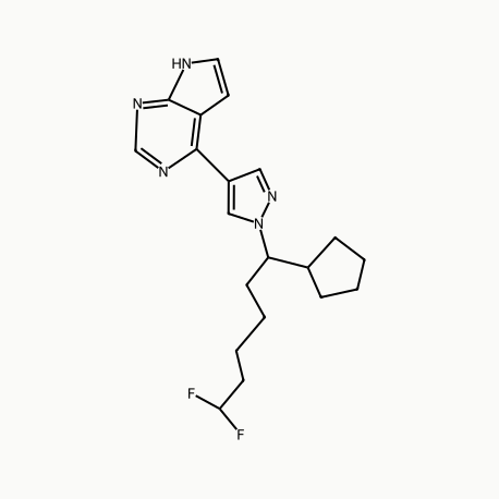 FC(F)CCCCC(C1CCCC1)n1cc(-c2ncnc3[nH]ccc23)cn1